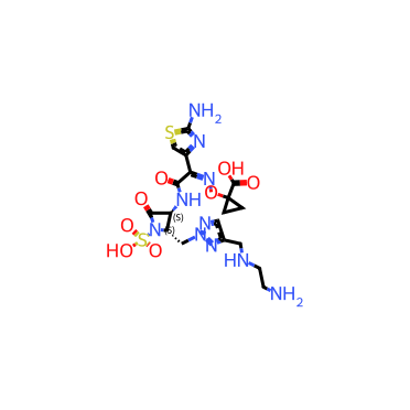 NCCNCc1cnn(C[C@H]2[C@H](NC(=O)C(=NOC3(C(=O)O)CC3)c3csc(N)n3)C(=O)N2S(=O)(=O)O)n1